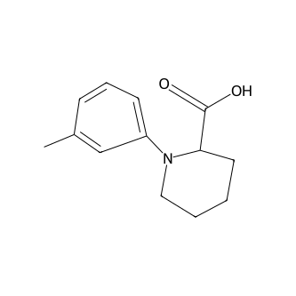 Cc1cccc(N2CCCCC2C(=O)O)c1